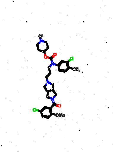 COc1ccc(Cl)cc1C(=O)N1CC2CN(CCCN(C(=O)OC3CCN(C(C)=O)CC3)c3ccc(C)c(Cl)c3)CC2C1